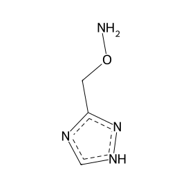 NOCc1nc[nH]n1